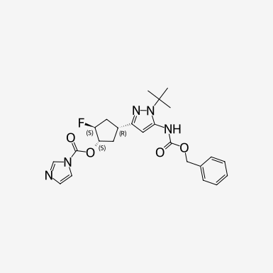 CC(C)(C)n1nc([C@@H]2C[C@H](OC(=O)n3ccnc3)[C@@H](F)C2)cc1NC(=O)OCc1ccccc1